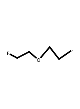 [CH2]CCOCCF